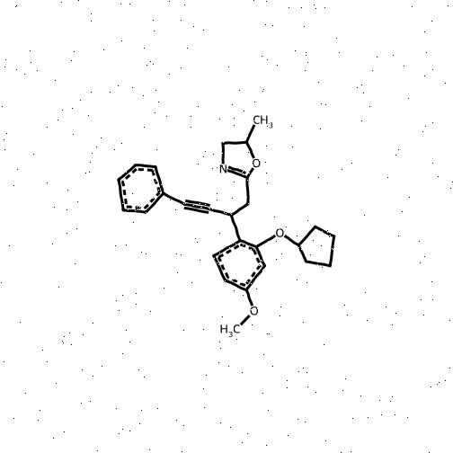 COc1ccc(C(C#Cc2ccccc2)CC2=NCC(C)O2)c(OC2CCCC2)c1